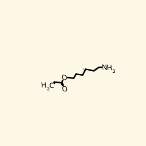 C=CC(=O)OCCC[CH]CCN